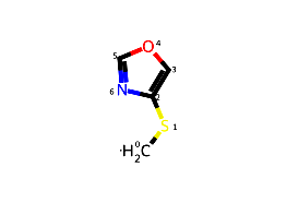 [CH2]Sc1cocn1